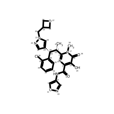 C[C@H](c1nc(C(=O)Nc2cnoc2)c(O)c(=O)n1C)[C@@H](c1cnn(CC2COC2)c1)c1ccccc1Cl